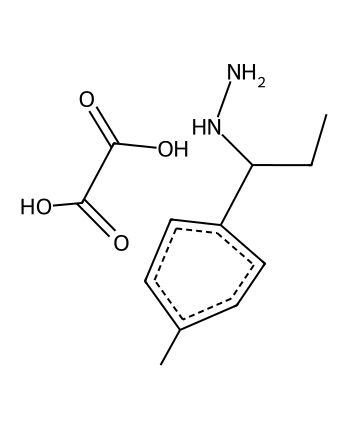 CCC(NN)c1ccc(C)cc1.O=C(O)C(=O)O